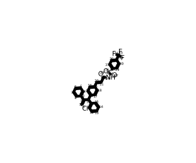 CC=C(c1ccccc1)C(c1ccccc1)c1ccc(C=CC(=O)NS(=O)(=O)c2ccc(C(F)(F)F)cc2)cc1